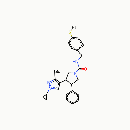 CCSc1ccc(CNC(=O)N2CC(c3ccccc3)C(c3cn(C4CC4)nc3C(C)(C)C)C2)cc1